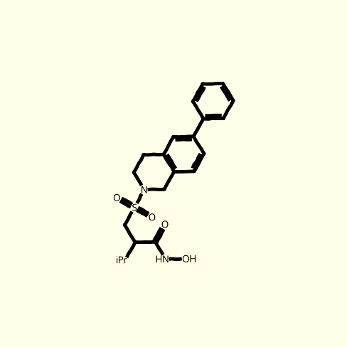 CC(C)C(CS(=O)(=O)N1CCc2cc(-c3ccccc3)ccc2C1)C(=O)NO